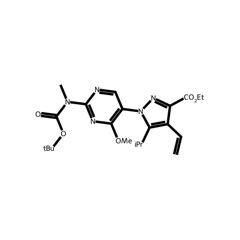 C=Cc1c(C(=O)OCC)nn(-c2cnc(N(C)C(=O)OC(C)(C)C)nc2OC)c1C(C)C